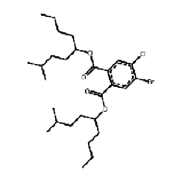 CCCCC(CCC(C)C)OC(=O)c1cc(Cl)c(Br)cc1C(=O)OC(CCCC)CCC(C)C